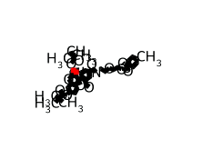 Cc1ccc(S(=O)(=O)OCCOCCNC(=O)c2ccc3c(c2)C(=O)OC32c3ccc(OC(=O)C(C)(C)C)cc3Oc3cc(OC(=O)C(C)(C)C)ccc32)cc1